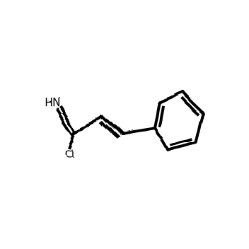 N=C(Cl)C=Cc1ccccc1